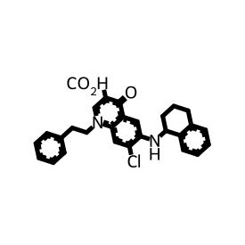 O=C(O)c1cn(CCc2ccccc2)c2cc(Cl)c(NC3CCCc4ccccc43)cc2c1=O